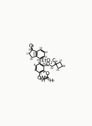 [2H]C([2H])Oc1c(OC)ccc(-c2cccc3c2CCC3=O)c1OCC1(C(=O)OCC)CCC1